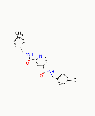 Cc1ccc(CNC(=O)c2ccnc(C(=O)NCc3ccc(C)cc3)c2)cc1